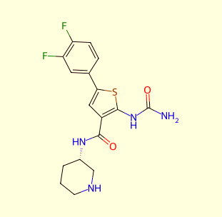 NC(=O)Nc1sc(-c2ccc(F)c(F)c2)cc1C(=O)N[C@H]1CCCNC1